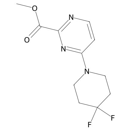 COC(=O)c1nccc(N2CCC(F)(F)CC2)n1